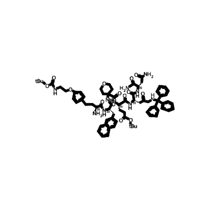 CC(C)(C)OC(=O)CC[C@H](NC(=O)C1(NC(=O)[C@H](Cc2ccc3ccccc3c2)NC(=O)[C@@H](N)CCc2ccc(OCCNC(=O)OC(C)(C)C)cc2)CCOCC1)C(=O)N[C@@H](CC(=O)CNC(c1ccccc1)(c1ccccc1)c1ccccc1)C(=O)N[C@@H](CC(N)=O)C(N)=O